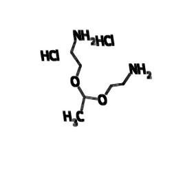 CC(OCCN)OCCN.Cl.Cl